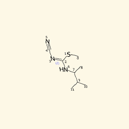 CS/C(=N\C#N)NC(C)C(C)C